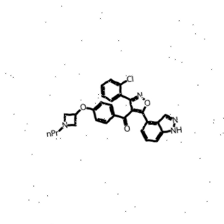 CCCN1CC(Oc2ccc(C(=O)c3c(-c4ccccc4Cl)noc3-c3cccc4[nH]ncc34)cc2)C1